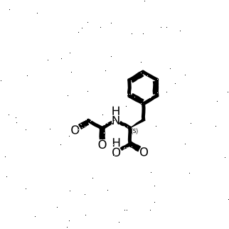 O=CC(=O)N[C@@H](Cc1ccccc1)C(=O)O